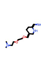 CN(C)CCOCCO/C=C1\CC/C(=C/N)NC1